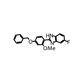 COc1cc(OCc2ccccc2)ccc1-c1nc2cc(F)ccc2[nH]1